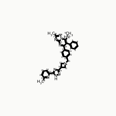 CNc1c(-c2ccccc2)c(-c2ccc(CN3CC(c4n[nH]c(-c5cccc(C)n5)n4)C3)cc2)nc2nc(C)nn12